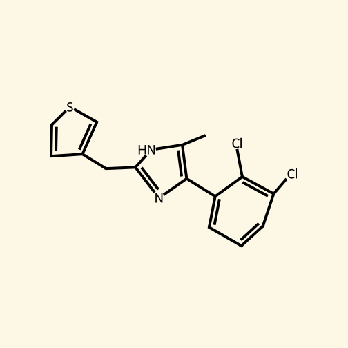 Cc1[nH]c(Cc2ccsc2)nc1-c1cccc(Cl)c1Cl